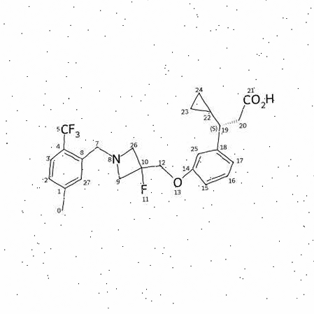 Cc1ccc(C(F)(F)F)c(CN2CC(F)(COc3cccc([C@@H](CC(=O)O)C4CC4)c3)C2)c1